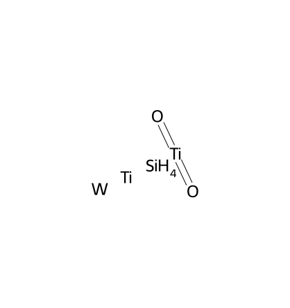 [O]=[Ti]=[O].[SiH4].[Ti].[W]